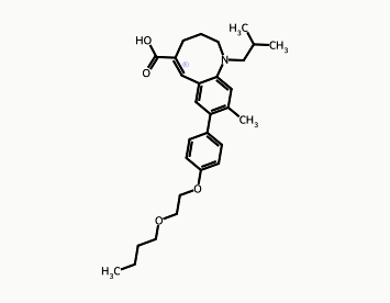 CCCCOCCOc1ccc(-c2cc3c(cc2C)N(CC(C)C)CCC/C(C(=O)O)=C\3)cc1